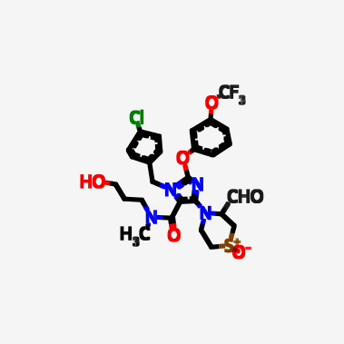 CN(CCCO)C(=O)c1c(N2CC[S+]([O-])CC2C=O)nc(Oc2cccc(OC(F)(F)F)c2)n1Cc1ccc(Cl)cc1